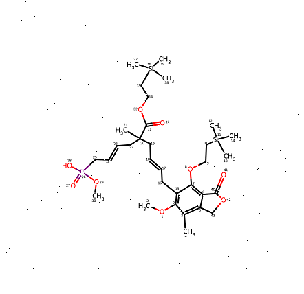 COc1c(C)c2c(c(OCC[Si](C)(C)C)c1CC=CCC(C)(CC=CCP(=O)(O)OC)C(=O)OCC[Si](C)(C)C)C(=O)OC2